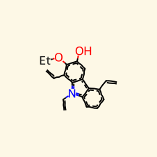 C=Cc1cccc2c1c1cc(O)c(OCC)c(C=C)c1n2C=C